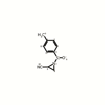 Cc1ccc([S+]([O-])N2CC2C#N)cc1